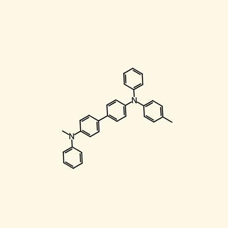 Cc1ccc(N(c2ccccc2)c2ccc(-c3ccc(N(C)c4ccccc4)cc3)cc2)cc1